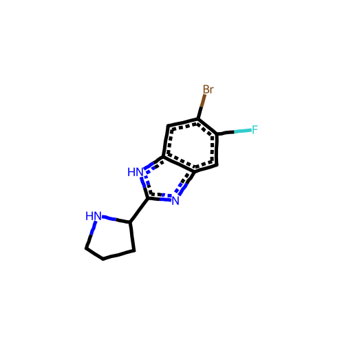 Fc1cc2nc(C3CCCN3)[nH]c2cc1Br